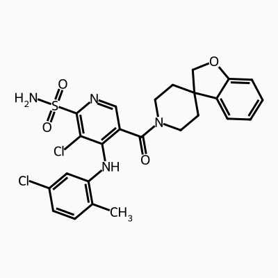 Cc1ccc(Cl)cc1Nc1c(C(=O)N2CCC3(CC2)COc2ccccc23)cnc(S(N)(=O)=O)c1Cl